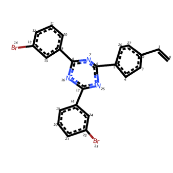 C=Cc1ccc(-c2nc(-c3cccc(Br)c3)nc(-c3cccc(Br)c3)n2)cc1